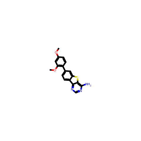 COc1ccc(-c2ccc3c(c2)sc2c(N)ncnc23)c(OC)c1